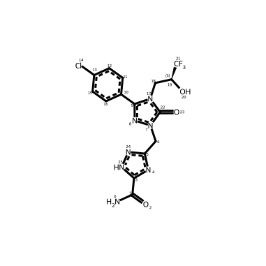 NC(=O)c1nc(Cn2nc(-c3ccc(Cl)cc3)n(C[C@H](O)C(F)(F)F)c2=O)n[nH]1